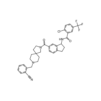 N#Cc1ccccc1CN1CCC2(CC1)CCN(C(=O)c1ccc3c(c1)C(NC(=O)c1cc(C(F)(F)F)ccc1Cl)CC3)C2